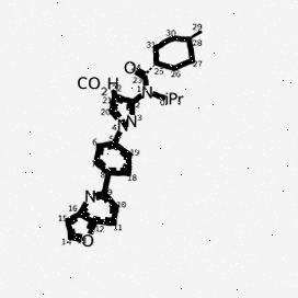 CC(C)N(c1nn(-c2ccc(-c3ccc4occc4n3)cc2)cc1C(=O)O)C(=O)[C@H]1CC[C@H](C)CC1